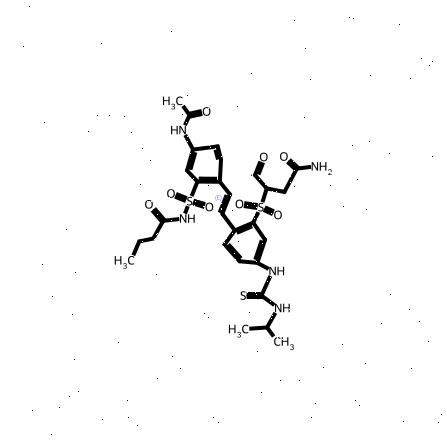 CCCC(=O)NS(=O)(=O)c1cc(NC(C)=O)ccc1/C=C/c1ccc(NC(=S)NC(C)C)cc1S(=O)(=O)C([C]=O)CC(N)=O